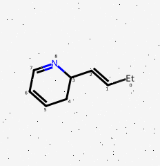 CCC=CC1CC=CC=N1